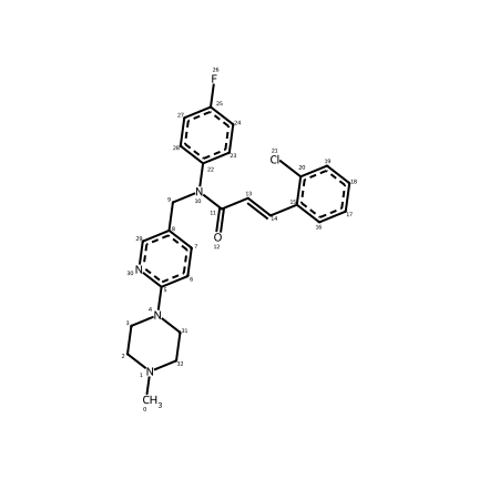 CN1CCN(c2ccc(CN(C(=O)C=Cc3ccccc3Cl)c3ccc(F)cc3)cn2)CC1